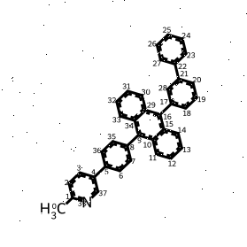 Cc1ccc(-c2ccc(-c3c4ccccc4c(-c4cccc(-c5ccccc5)c4)c4ccccc34)cc2)cn1